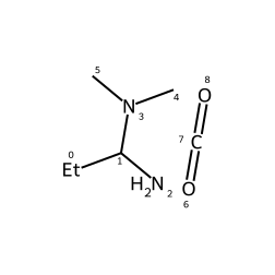 CCC(N)N(C)C.O=C=O